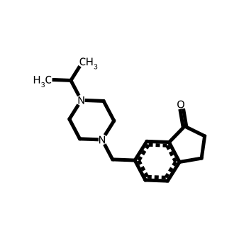 CC(C)N1CCN(Cc2ccc3c(c2)C(=O)CC3)CC1